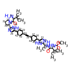 COC(=O)N[C@@H](C(=O)N[C@@H](C)c1ncc(-c2ccc(C#Cc3ccc(-c4cnc([C@@H]5CCCN5C(=O)[C@H](N)C(C)C)[nH]4)cc3)cc2)[nH]1)C(C)C